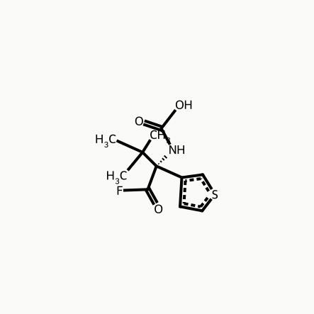 CC(C)(C)[C@](NC(=O)O)(C(=O)F)c1ccsc1